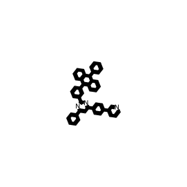 C1=CC2=C(c3cccc(-c4nc(-c5ccccc5)cc(-c5ccc(-c6cccnc6)cc5)n4)c3)C3=C(CCC=C3)C(c3ccccc3)C2C=C1